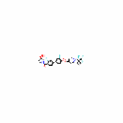 O=C(c1ccc(-c2ccc(OCC3CCN(CC4(C(F)(F)F)CCC4)CC3)c(F)c2)cc1F)N1CCC(O)C1